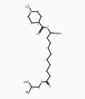 CCCCCCCCCC(CCCCCCCCC(=O)OCC(CCCC)CCCCCC)OC(=O)C1CCN(C)CC1